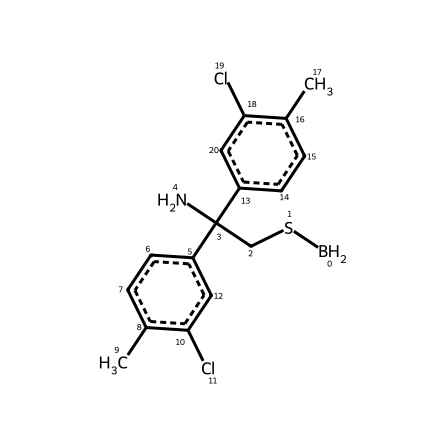 BSCC(N)(c1ccc(C)c(Cl)c1)c1ccc(C)c(Cl)c1